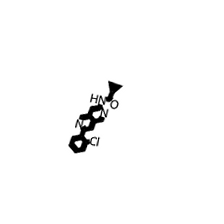 O=C(Nc1cc2cnc(-c3ccccc3Cl)cc2cn1)C1CC1